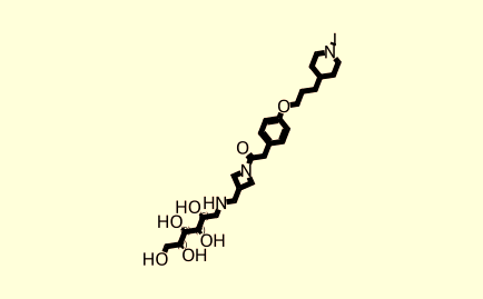 O=C(Cc1ccc(OCCCC2CCN(I)CC2)cc1)N1CC(CNC[C@H](O)[C@@H](O)[C@H](O)[C@H](O)CO)C1